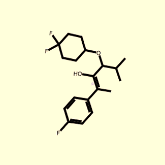 C/C(=C(/O)C(OC1CCC(F)(F)CC1)C(C)C)c1ccc(F)cc1